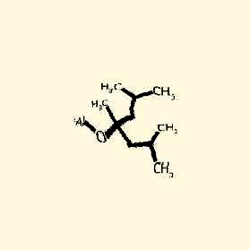 CC(C)CC(C)(CC(C)C)[O][Al]